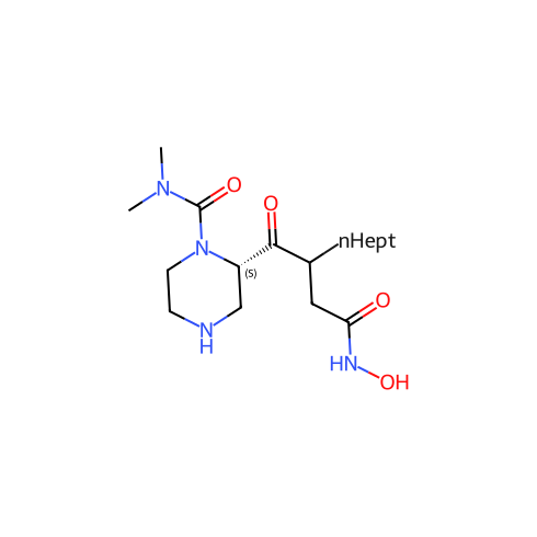 CCCCCCCC(CC(=O)NO)C(=O)[C@@H]1CNCCN1C(=O)N(C)C